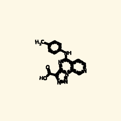 Cc1ccc(Nc2nc3c(C(=O)O)nnn3c3cnccc23)cc1